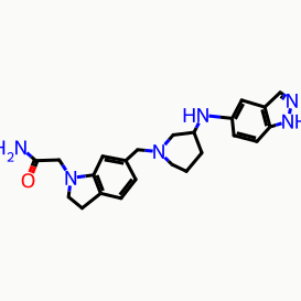 NC(=O)CN1CCc2ccc(CN3CCCC(Nc4ccc5[nH]ncc5c4)C3)cc21